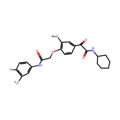 COc1cc(C(=O)C(=O)NC2CCCCC2)ccc1OCC(=O)Nc1ccc(F)c(C(F)(F)F)c1